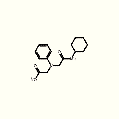 O=C(O)CN(CC(=O)NC1CCCCC1)c1ccccc1